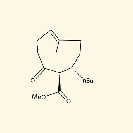 CCCC[C@H]1CC/C(C)=C/CCC(=O)[C@@H]1C(=O)OC